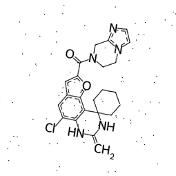 C=C1Nc2c(Cl)cc3cc(C(=O)N4CCn5ccnc5C4)oc3c2C2(CCCCC2)N1